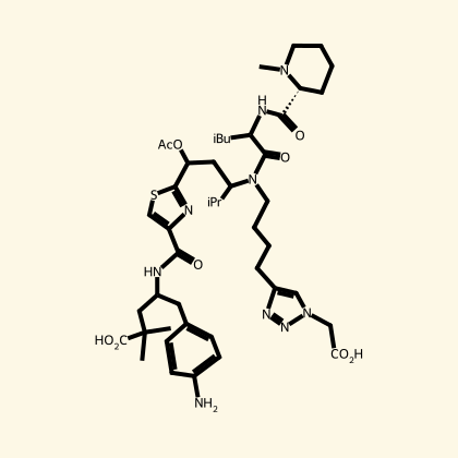 CCC(C)C(NC(=O)[C@H]1CCCCN1C)C(=O)N(CCCCc1cn(CC(=O)O)nn1)C(CC(OC(C)=O)c1nc(C(=O)NC(Cc2ccc(N)cc2)CC(C)(C)C(=O)O)cs1)C(C)C